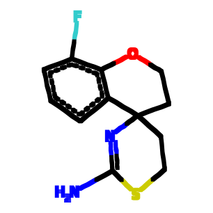 NC1=NC2(CCOc3c(F)cccc32)CCS1